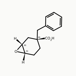 O=C(O)[C@@]1(Cc2ccccc2)CC[C@@H]2O[C@@H]2C1